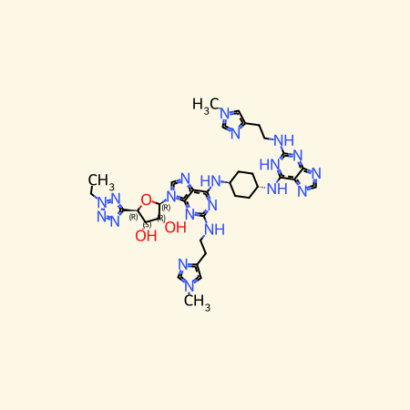 CCn1nnc([C@H]2O[C@@H](n3cnc4c(N[C@H]5CC[C@H](Nc6[nH]c(NCCc7cn(C)cn7)nc7ncnc6-7)CC5)nc(NCCc5cn(C)cn5)nc43)[C@H](O)[C@@H]2O)n1